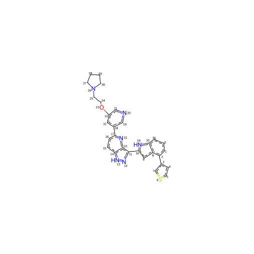 c1cc(-c2ccsc2)c2cc(-c3n[nH]c4ccc(-c5cncc(OCCN6CCCC6)c5)nc34)[nH]c2c1